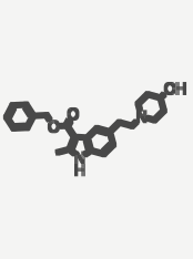 Cc1[nH]c2ccc(CCN3CCC(O)CC3)cc2c1C(=O)OCc1ccccc1